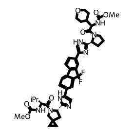 COC(=O)NC(C(=O)N1CCC[C@H]1c1nc(-c2ccc3c(c2)C(F)(F)c2cc(-c4cnc([C@@H]5CC6(CC6)CN5C(=O)[C@@H](NC(=O)OC)C(C)C)[nH]4)ccc2-3)c[nH]1)C1CCOCC1